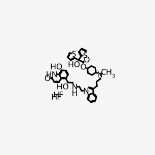 CN(CCCc1cn(CCNC[C@@H](O)c2ccc(O)c3[nH]c(=O)ccc23)c2ccccc12)C1CCC(OC(=O)C(O)(c2cccs2)c2cccs2)CC1.F.F